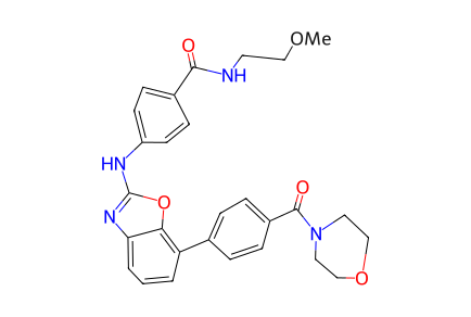 COCCNC(=O)c1ccc(Nc2nc3cccc(-c4ccc(C(=O)N5CCOCC5)cc4)c3o2)cc1